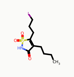 CCCCC1=C(CCCI)S(=O)(=O)NC1=O